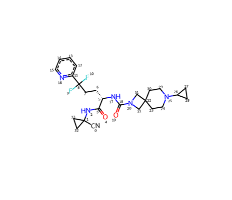 N#CC1(NC(=O)[C@H](CCC(F)(F)c2ccccn2)NC(=O)N2CC3(CCN(C4CC4)CC3)C2)CC1